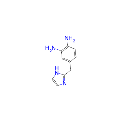 Nc1ccc(Cc2ncc[nH]2)cc1N